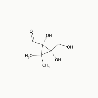 CC1(C)[C@](O)(CO)[C@]1(O)C=O